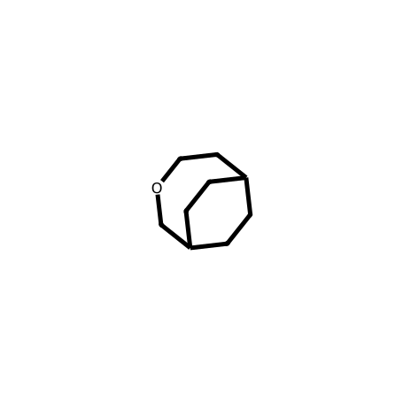 C1CC2CCC(CC2)CO1